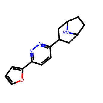 c1coc(-c2ccc(C3CC4CCC(C3)N4)nn2)c1